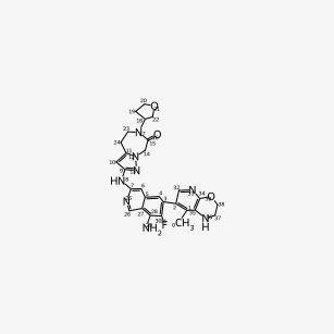 Cc1c(-c2cc3cc(Nc4cc5n(n4)CC(=O)N(C4CCOC4)CC5)ncc3c(N)c2F)cnc2c1NCCO2